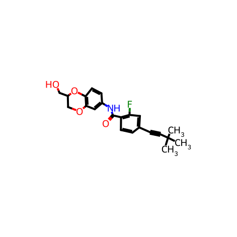 CC(C)(C)C#Cc1ccc(C(=O)Nc2ccc3c(c2)OCC(CO)O3)c(F)c1